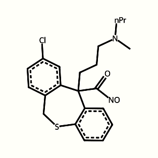 CCCN(C)CCCC1(C(=O)N=O)c2cc(Cl)ccc2CSc2ccccc21